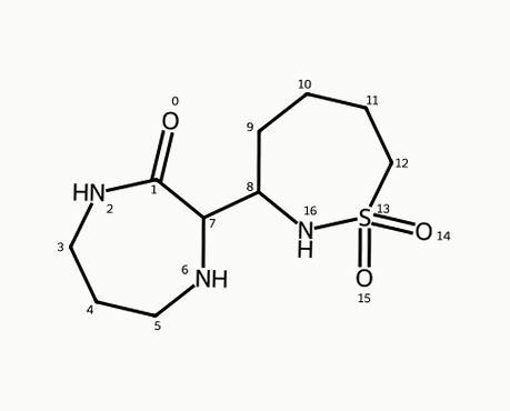 O=C1NCCCNC1C1CCCCS(=O)(=O)N1